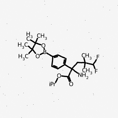 CC(C)OC(=O)C(N)(CC(C)(C)C(F)F)c1ccc(B2OC(C)(C)C(C)(C)O2)cc1